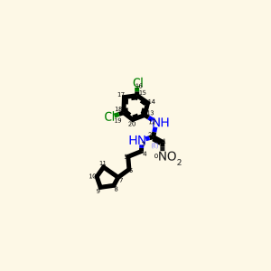 O=[N+]([O-])/C=C(\NCCCC1CCCC1)Nc1cc(Cl)cc(Cl)c1